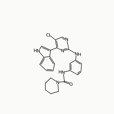 O=C(Nc1cccc(Nc2ncc(Cl)c(-c3c[nH]c4ccccc34)n2)c1)N1CCCCC1